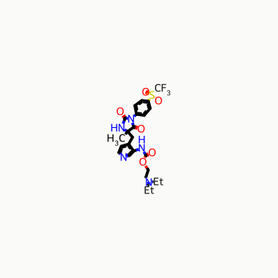 CCN(CC)CCOC(=O)Nc1cnccc1CC1(C)NC(=O)N(c2ccc(S(=O)(=O)C(F)(F)F)cc2)C1=O